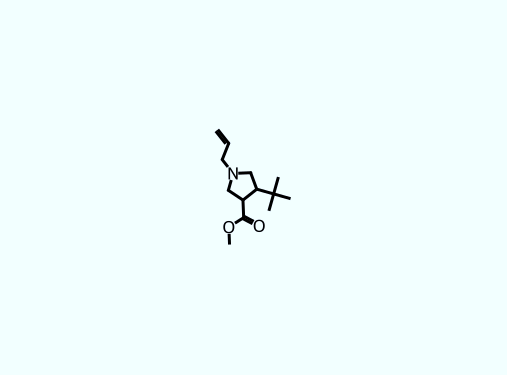 C=CCN1CC(C(=O)OC)C(C(C)(C)C)C1